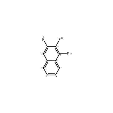 Fc1cc2c[c]ccc2c(F)c1F